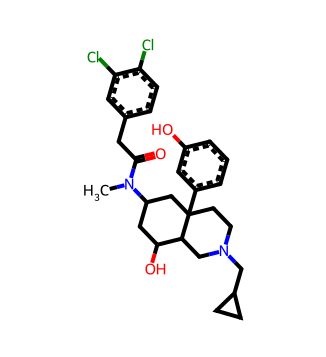 CN(C(=O)Cc1ccc(Cl)c(Cl)c1)C1CC(O)C2CN(CC3CC3)CCC2(c2cccc(O)c2)C1